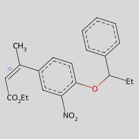 CCOC(=O)/C=C(/C)c1ccc(OC(CC)c2ccccc2)c([N+](=O)[O-])c1